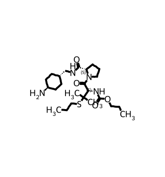 CCCOC(=O)N[C@@H](C(=O)N1CCC[C@H]1C(=O)NC[C@H]1CC[C@H](N)CC1)C(C)(C)SCCC